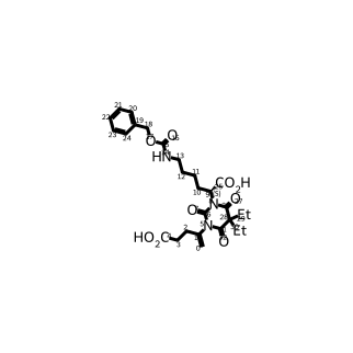 C=C(CCC(=O)O)N1C(=O)N([C@@H](CCCCNC(=O)OCc2ccccc2)C(=O)O)C(=O)C(CC)(CC)C1=O